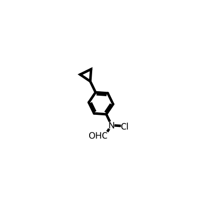 O=CN(Cl)c1ccc(C2CC2)cc1